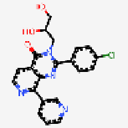 O=c1c2ccnc(-c3cccnc3)c2nc(-c2ccc(Cl)cc2)n1CC(O)CO